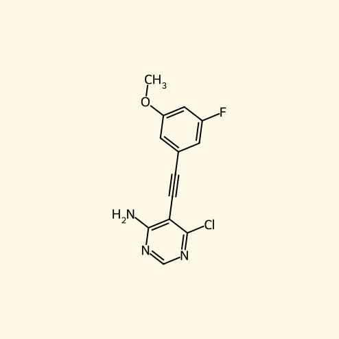 COc1cc(F)cc(C#Cc2c(N)ncnc2Cl)c1